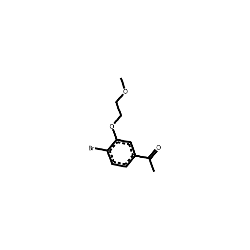 COCCOc1cc(C(C)=O)ccc1Br